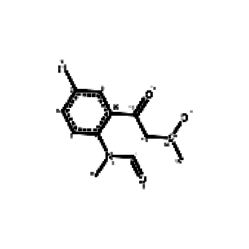 CN(C=O)c1ccc(Cl)cc1C(=O)C[S+](C)[O-]